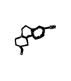 COc1ccc2c(c1)CCN1CCC(=O)CC21